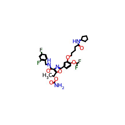 CC(OC(N)=O)c1oc(-c2ccc(OC(F)F)c(OCCCCC(=O)NC3CCCC3)c2)nc1C(=O)NCc1ccc(F)cc1F